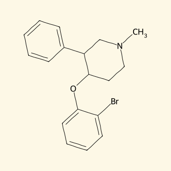 CN1CCC(Oc2ccccc2Br)C(c2ccccc2)C1